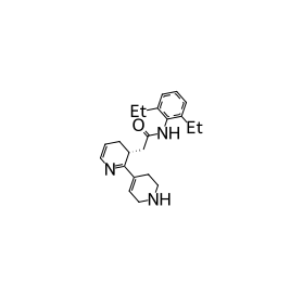 CCc1cccc(CC)c1NC(=O)C[C@H]1CC=CN=C1C1=CCNCC1